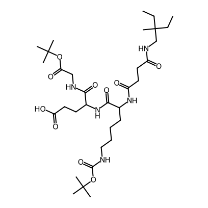 CCC(C)(CC)CNC(=O)CCC(=O)NC(CCCCNC(=O)OC(C)(C)C)C(=O)NC(CCC(=O)O)C(=O)NCC(=O)OC(C)(C)C